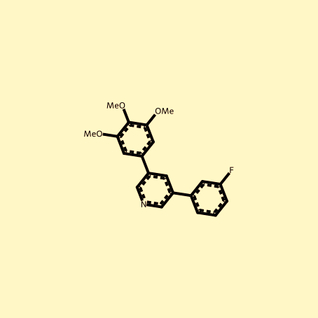 COc1cc(-c2cncc(-c3cccc(F)c3)c2)cc(OC)c1OC